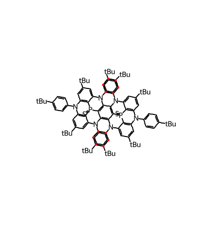 CC(C)(C)c1ccc(N2c3cc(C(C)(C)C)cc4c3P3(=S)c5c2cc(C(C)(C)C)cc5N(c2ccc(C(C)(C)C)cc2)c2c5c6c(c(c23)N4c2ccc(C(C)(C)C)cc2)N(c2ccc(C(C)(C)C)cc2)c2cc(C(C)(C)C)cc3c2P6(=S)c2c(cc(C(C)(C)C)cc2N5c2ccc(C(C)(C)C)cc2)N3c2ccc(C(C)(C)C)cc2)cc1